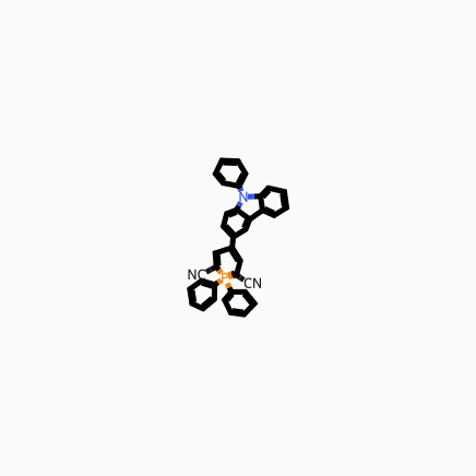 N#CC1=CC(c2ccc3c(c2)c2ccccc2n3-c2ccccc2)=CC(C#N)=P1(c1ccccc1)c1ccccc1